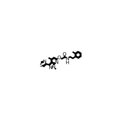 Cc1ccccc1CCNC(=O)COc1cc(C)c2c(-c3cscn3)nn(C)c2n1